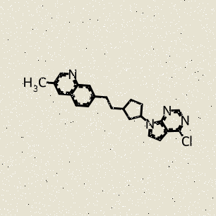 Cc1cnc2cc(CCC3CCC(n4ccc5c(Cl)ncnc54)C3)ccc2c1